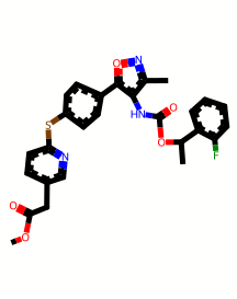 COC(=O)Cc1ccc(Sc2ccc(-c3onc(C)c3NC(=O)OC(C)c3ccccc3F)cc2)nc1